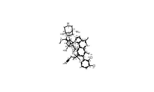 COC(=O)N1[C@H]2CNC[C@H](C2)[C@@H]1c1cc2c(C)nc3c(F)c(-c4cccc(Cl)c4Cl)c(CCC#N)cc3c2n1[C@H]1[C@@H]2C[C@H]1N(C(=O)OC(C)(C)C)C2